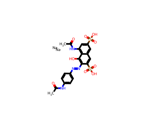 CC(=O)Nc1ccc(N=Nc2c(S(=O)(=O)O)cc3cc(S(=O)(=O)O)cc(NC(C)=O)c3c2O)cc1.[Na].[Na]